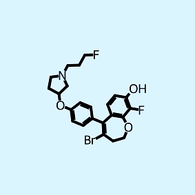 Oc1ccc2c(c1F)OCCC(Br)=C2c1ccc(OC2CCN(CCCF)C2)cc1